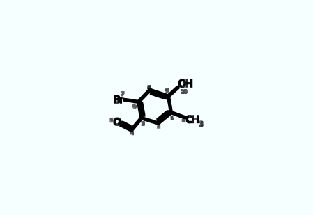 Cc1cc(C=O)c(Br)cc1O